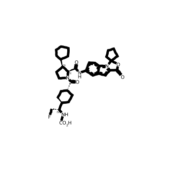 O=C(O)N[C@H](CF)[C@H]1CC[C@H](C(=O)N2CC[C@@H](C3CCCCC3)[C@H]2C(=O)Nc2ccc3c(c2)cc2n3C3(CCCC3)OC2=O)CC1